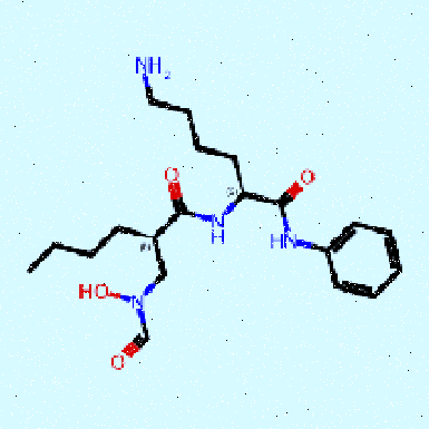 CCCC[C@H](CN(O)C=O)C(=O)N[C@@H](CCCCN)C(=O)Nc1ccccc1